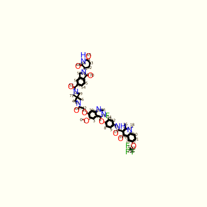 COc1cc2c(Oc3ccc(NC(=O)c4c(C)n(C)c5ccc(OC(F)(F)F)cc5c4=O)cc3F)ncnc2cc1OCC(=O)N1CC2(C1)CN(C(=O)c1ccc3c(c1)CN(C1CCC(=O)NC1=O)C3=O)C2